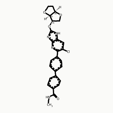 CNC(=O)c1ccc(-c2ccc(-c3nc4nc(O[C@@H]5CO[C@@H]6CCO[C@@H]65)[nH]c4cc3Cl)cc2)cc1